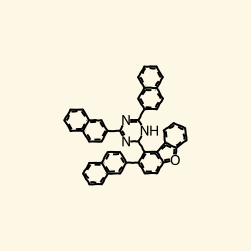 c1ccc2cc(C3=NC(c4c(-c5ccc6ccccc6c5)ccc5oc6ccccc6c45)NC(c4ccc5ccccc5c4)=N3)ccc2c1